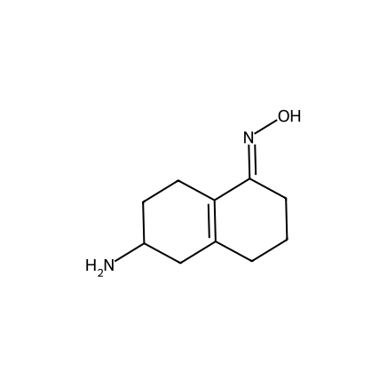 NC1CCC2=C(CCCC2=NO)C1